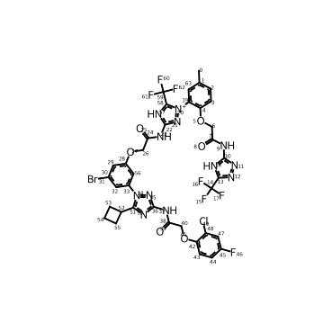 Cc1ccc(OCC(=O)Nc2nnc(C(F)(F)F)[nH]2)c(-[n+]2nc(NC(=O)COc3cc(Br)cc(-n4nc(NC(=O)COc5ccc(F)cc5Cl)nc4C4CCC4)c3)[nH]c2C(F)(F)F)c1